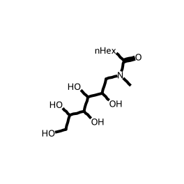 CCCCCCC(=O)N(C)CC(O)C(O)C(O)C(O)CO